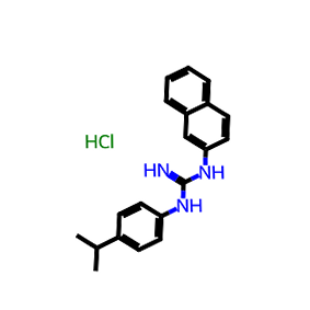 CC(C)c1ccc(NC(=N)Nc2ccc3ccccc3c2)cc1.Cl